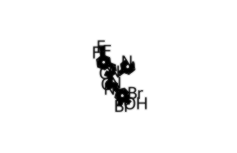 O=C(c1nc(-c2cc(Br)c(O)c(Br)c2)no1)N(Cc1cccnc1)Cc1cccc(C(F)(F)F)c1